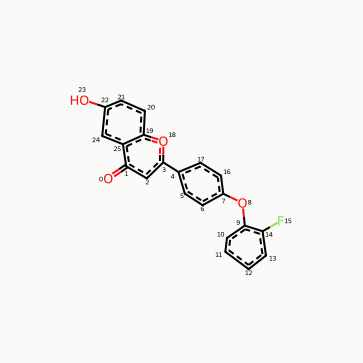 O=c1cc(-c2ccc(Oc3ccccc3F)cc2)oc2ccc(O)cc12